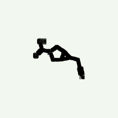 N#CCC1C2CN(C(=O)O)CC12